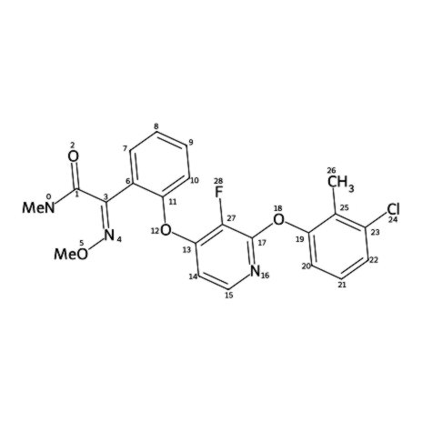 CNC(=O)/C(=N\OC)c1ccccc1Oc1ccnc(Oc2cccc(Cl)c2C)c1F